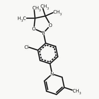 CC1=CC=CN(c2ccc(B3OC(C)(C)C(C)(C)O3)c(Cl)c2)C1